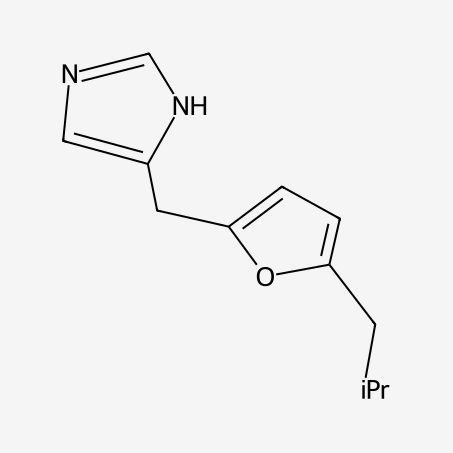 CC(C)Cc1ccc(Cc2cnc[nH]2)o1